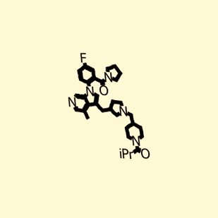 Cc1cncc2c1c(CC1CCN(CC3CCN(C(=O)C(C)C)CC3)C1)cn2-c1ccc(F)cc1C(=O)N1CCCC1